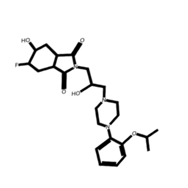 CC(C)Oc1ccccc1N1CCN(CC(O)CN2C(=O)C3CC(O)C(F)CC3C2=O)CC1